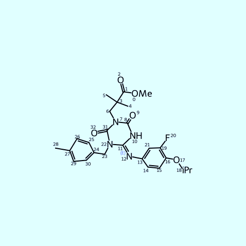 COC(=O)C(C)(C)Cn1c(=O)[nH]/c(=N\c2ccc(OC(C)C)c(F)c2)n(Cc2ccc(C)cc2)c1=O